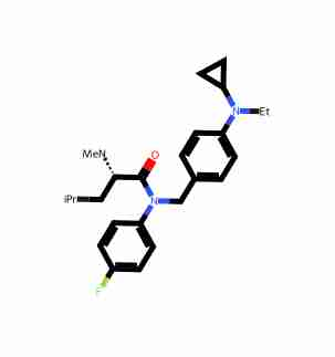 CCN(c1ccc(CN(C(=O)[C@H](CC(C)C)NC)c2ccc(F)cc2)cc1)C1CC1